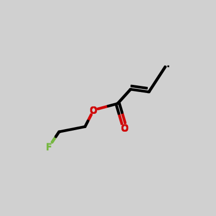 [CH2]C=CC(=O)OCCF